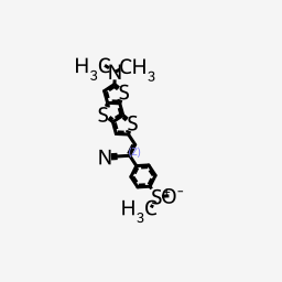 CN(C)c1cc2sc3cc(/C=C(\C#N)c4ccc([S+](C)[O-])cc4)sc3c2s1